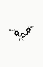 COc1ccc(CN2CCN(Cc3ccc(OC)cc3)[C@@H](C(F)F)C2)cc1